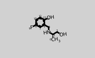 C[C@H](CO)NCc1cc(F)ccc1O